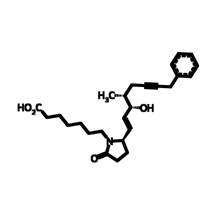 C[C@H](CC#CCc1ccccc1)[C@H](O)C=C[C@H]1CCC(=O)N1CCCCCCC(=O)O